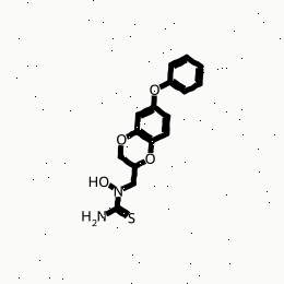 NC(=S)N(O)CC1COc2cc(Oc3ccccc3)ccc2O1